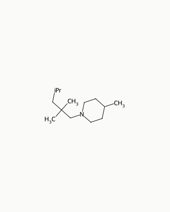 CC(C)CC(C)(C)CN1CCC(C)CC1